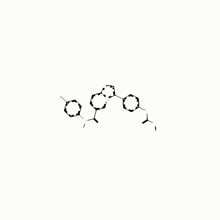 COC(=O)Nc1ccc(-c2cnc3ccc(C(=O)N(C)c4ccc(Cl)cc4)cn23)cc1